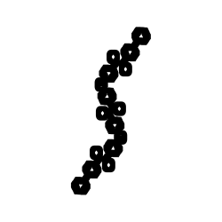 O=C(C(=O)c1ccc(Oc2ccc(C(=O)C(=O)c3ccc(-c4ccccc4)cc3)cc2)cc1)c1ccc(Oc2ccc(C(=O)C(=O)c3ccc(-c4ccccc4)cc3)cc2)cc1